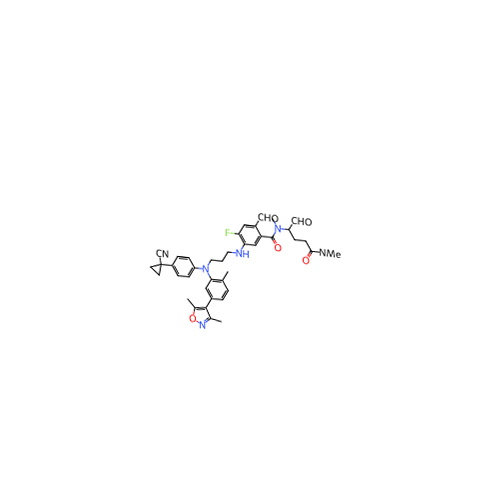 CNC(=O)CCC(C=O)N(C)C(=O)c1cc(NCCCN(c2ccc(C3(C#N)CC3)cc2)c2cc(-c3c(C)noc3C)ccc2C)c(F)cc1C=O